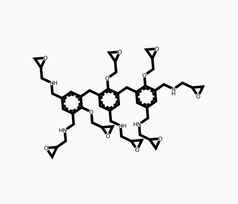 c1c(CNCC2CO2)cc(Cc2cc(CNCC3CO3)cc(Cc3cc(CNCC4CO4)cc(CNCC4CO4)c3OCC3CO3)c2OCC2CO2)c(OCC2CO2)c1CNCC1CO1